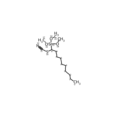 CCCCCCCCCC(SC#N)[Si](OC)(OC)OC